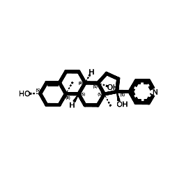 C[C@]12CC[C@H]3[C@@H](CCC4=C[C@@H](O)CC[C@@]43C)[C@@]1(O)CC[C@]2(O)c1ccncc1